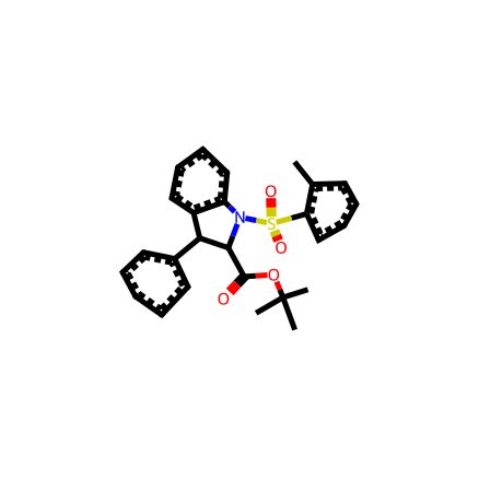 Cc1ccccc1S(=O)(=O)N1c2ccccc2C(c2ccccc2)C1C(=O)OC(C)(C)C